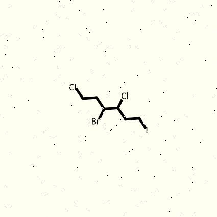 ClCCC(Br)C(Cl)CCI